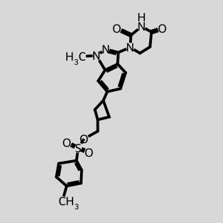 Cc1ccc(S(=O)(=O)OCC2CC(c3ccc4c(N5CCC(=O)NC5=O)nn(C)c4c3)C2)cc1